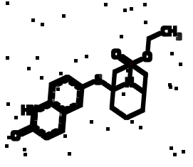 CCOC(=O)N1C2CCCC1(Sc1ccc3[nH]c(=O)ccc3c1)CCC2